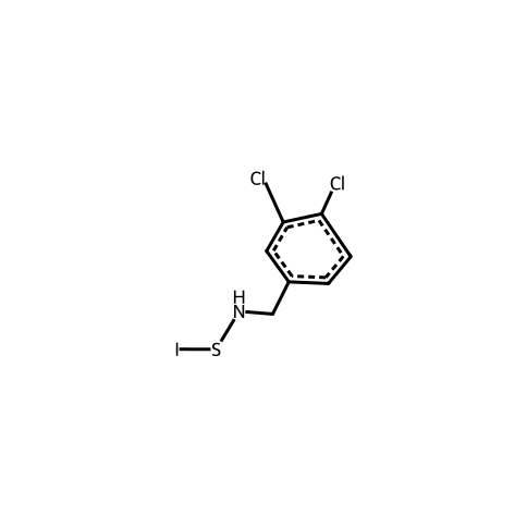 Clc1ccc(CNSI)cc1Cl